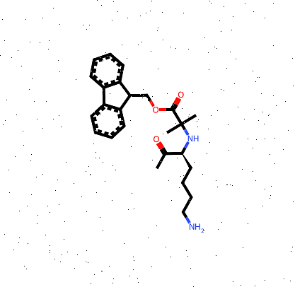 CC(=O)[C@H](CCCCN)NC(C)(C)C(=O)OCC1c2ccccc2-c2ccccc21